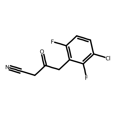 N#CCC(=O)Cc1c(F)ccc(Cl)c1F